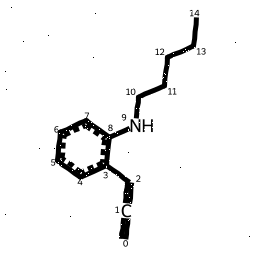 C=C=Cc1ccccc1NCCCCC